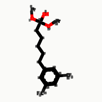 CC(C)O[Si](O)(CCCCCc1cc(C(F)(F)F)cc(C(F)(F)F)c1)OC(C)C